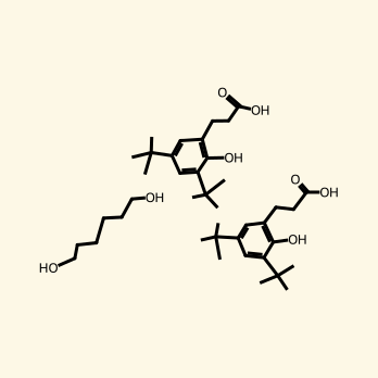 CC(C)(C)c1cc(CCC(=O)O)c(O)c(C(C)(C)C)c1.CC(C)(C)c1cc(CCC(=O)O)c(O)c(C(C)(C)C)c1.OCCCCCCO